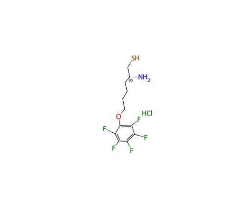 Cl.N[C@@H](CS)CCCCOc1c(F)c(F)c(F)c(F)c1F